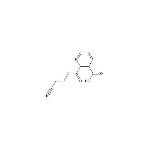 N#CCCOC(=O)C1N=CC=CC1C(=O)O